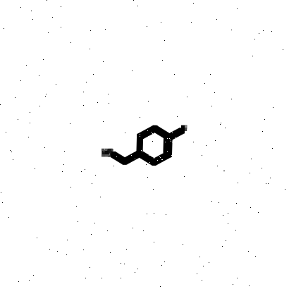 FC1=CCC(CS)CC1